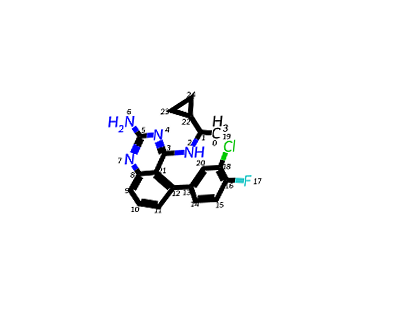 CC(Nc1nc(N)nc2cccc(-c3ccc(F)c(Cl)c3)c12)C1CC1